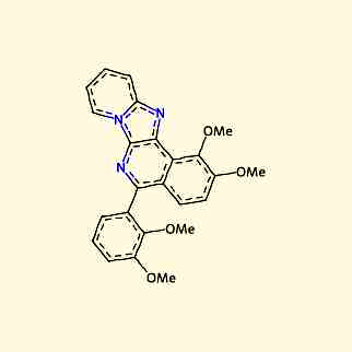 COc1cccc(-c2nc3c(nc4ccccn43)c3c(OC)c(OC)ccc23)c1OC